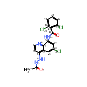 CC(=O)NNc1ccnc2c(NC(=O)c3c(Cl)cccc3Cl)cc(Cl)cc12